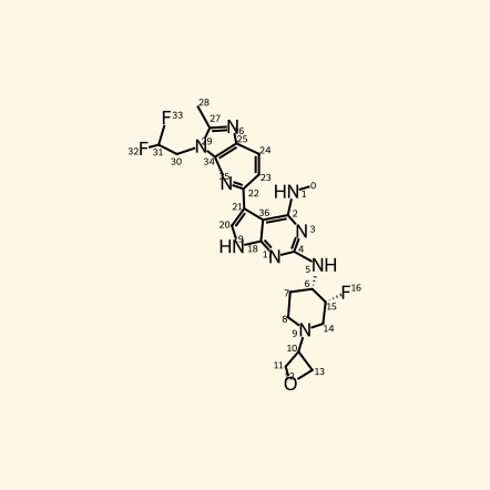 CNc1nc(N[C@H]2CCN(C3COC3)C[C@H]2F)nc2[nH]cc(-c3ccc4nc(C)n(CC(F)F)c4n3)c12